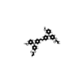 C=CC(=O)Oc1ccc(N(c2ccc(CCc3ccc(N(c4ccc(OC(=O)C=C)cc4)c4cccc(OC)c4)cc3)cc2)c2cccc(OC)c2)cc1